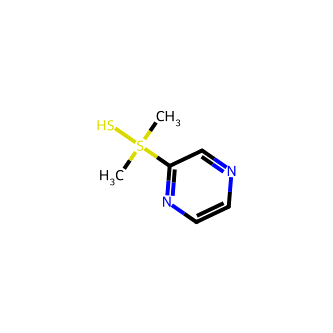 CS(C)(S)c1cnccn1